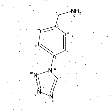 NCc1ccc(-n2cnnn2)cc1